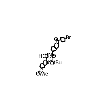 COCOc1ccc2c(c1)CN(C(=O)OC(C)(C)C)[C@H]([C@H](O)CNC(=O)c1ccc3c(c1)CCN(C(=O)c1ccc(Br)cc1)C3)C2